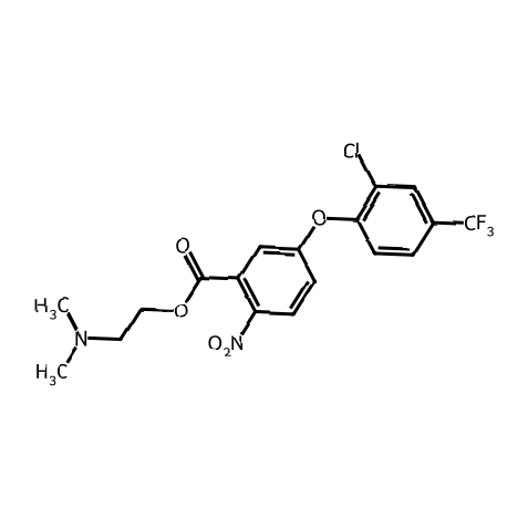 CN(C)CCOC(=O)c1cc(Oc2ccc(C(F)(F)F)cc2Cl)ccc1[N+](=O)[O-]